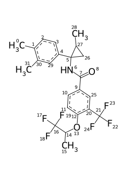 Cc1ccc(C2(NC(=O)c3ccc(OC(C)C(F)(F)F)c(C(F)(F)F)c3)CC2C)cc1C